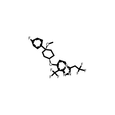 CO[C@]1(c2ccc(F)cc2)CC[C@H](Oc2ccn3c(CC(F)(F)F)nnc3c2C(F)(F)F)CC1